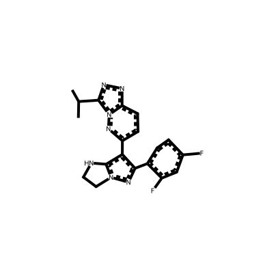 CC(C)c1nnc2ccc(-c3c(-c4ccc(F)cc4F)nn4c3NCC4)nn12